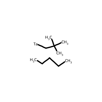 CC(C)(C)[CH2][Ta].CCCCC